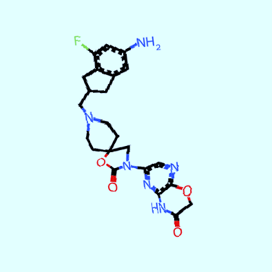 Nc1cc(F)c2c(c1)CC(CN1CCC3(CC1)CN(c1cnc4c(n1)NC(=O)CO4)C(=O)O3)C2